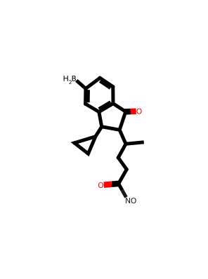 Bc1ccc2c(c1)C(C1CC1)C(C(C)CCC(=O)N=O)C2=O